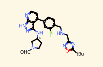 CC(C)(C)c1nc(CNCc2ccc(-c3ccnc4[nH]nc(N[C@H]5CCN(C=O)C5)c34)cc2F)no1